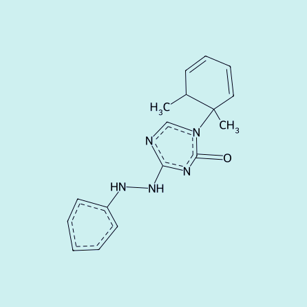 CC1C=CC=CC1(C)n1cnc(NNc2ccccc2)nc1=O